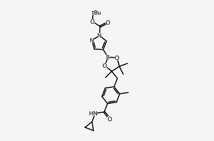 Cc1cc(C(=O)NC2CC2)ccc1CC1(C)OB(c2cnn(C(=O)OC(C)(C)C)c2)OC1(C)C